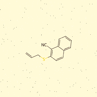 C=CCSc1ccc2ccccc2c1C#N